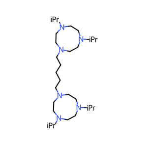 CC(C)N1CCN(CCCCCN2CCN(C(C)C)CCN(C(C)C)CC2)CCN(C(C)C)CC1